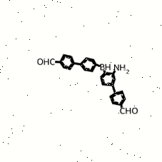 Nc1cc(-c2ccc(C=O)cc2)ccc1Bc1ccc(-c2ccc(C=O)cc2)cc1